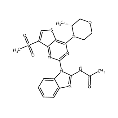 CC(=O)Nc1nc2ccccc2n1-c1nc(N2CCOC[C@H]2C)c2scc(S(C)(=O)=O)c2n1